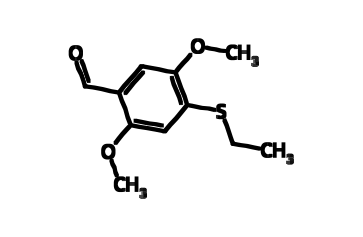 CCSc1cc(OC)c(C=O)cc1OC